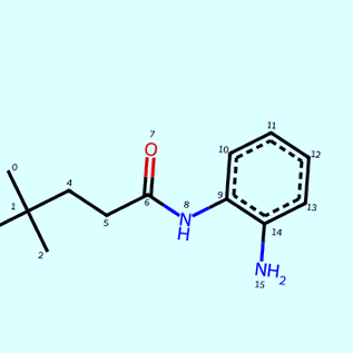 CC(C)(C)CCC(=O)Nc1ccccc1N